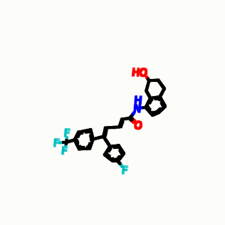 O=C(/C=C/C=C(\c1ccc(F)cc1)c1ccc(C(F)(F)F)cc1)Nc1cccc2c1CC(O)CC2